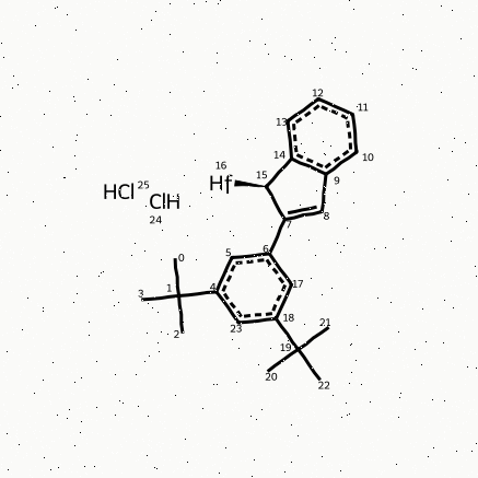 CC(C)(C)c1cc(C2=Cc3ccccc3[C@@H]2[Hf])cc(C(C)(C)C)c1.Cl.Cl